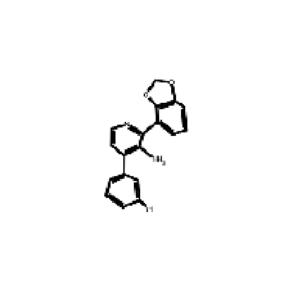 Nc1c(-c2cc[c]c(Cl)c2)ccnc1-c1cccc2c1OCO2